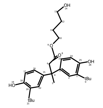 CC(C)(C)c1cc(C(C)(CC(=O)OCCCCO)c2ccc(O)c(C(C)(C)C)c2)ccc1O